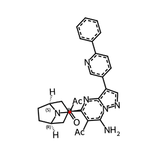 CC(=O)C(=O)N1[C@@H]2CC[C@H]1C[C@@H](c1nc3c(-c4ccc(-c5ccccc5)nc4)cnn3c(N)c1C(C)=O)C2